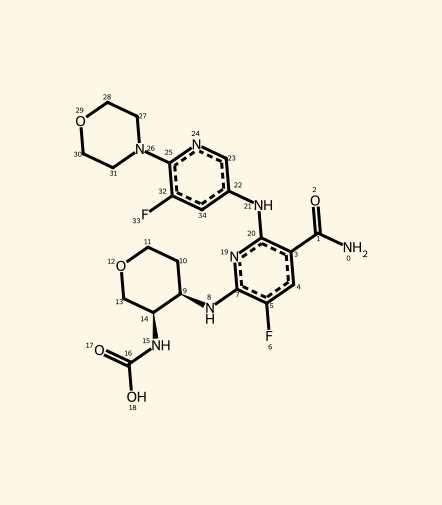 NC(=O)c1cc(F)c(N[C@@H]2CCOC[C@@H]2NC(=O)O)nc1Nc1cnc(N2CCOCC2)c(F)c1